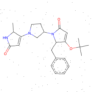 CC1NC(=O)C=C1N1CCC(N2C(=O)C=C(OC(C)(C)C)C2Cc2ccccc2)C1